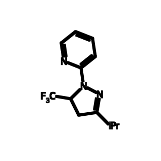 CC(C)C1=NN(c2ccccn2)C(C(F)(F)F)C1